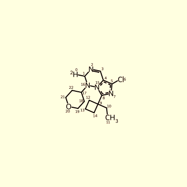 [2H]C1N=Cc2c(Cl)nc(C3(CC)CCC3)n2N1C1CCOCC1